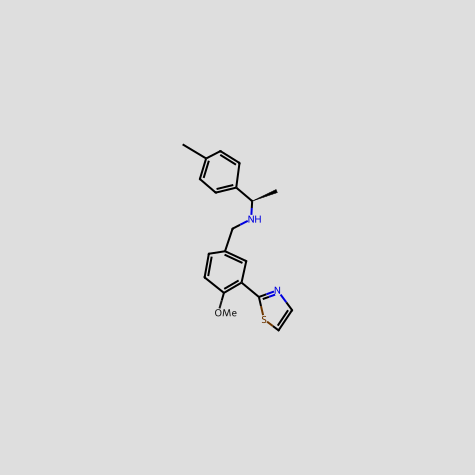 COc1ccc(CN[C@H](C)c2ccc(C)cc2)cc1-c1nccs1